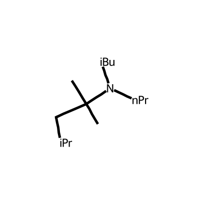 CCCN(C(C)CC)C(C)(C)CC(C)C